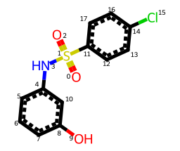 O=S(=O)(Nc1cccc(O)c1)c1ccc(Cl)cc1